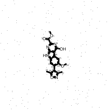 COC(=O)c1nc(O)c2c(n1)[nH]c1cc(-c3c(C)noc3C)c(OC)cc12